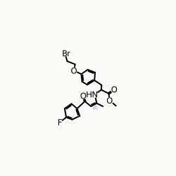 COC(=O)C(Cc1ccc(OCCBr)cc1)N/C(C)=C\C(=O)c1ccc(F)cc1